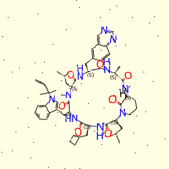 C=CC(C)(C)n1cc(C[C@@H]2NC(=O)[C@H](CC3CCC3)NC(=O)[C@H](CC(C)C)N3CCC[C@@H](C3=O)N(C)C(=O)[C@H](C)NC(=O)[C@H](Cc3ccc4ncncc4c3)NC(=O)[C@H](CC(C)C)N(C)C2=O)c2ccccc21